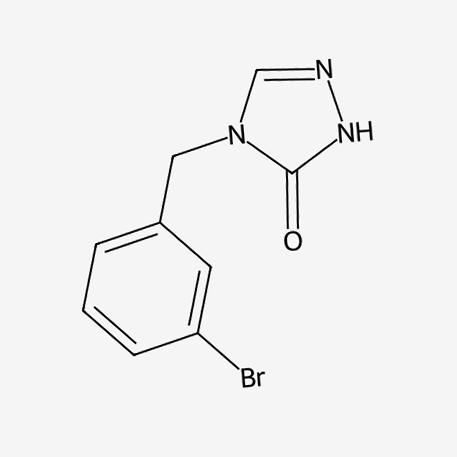 O=c1[nH]ncn1Cc1cccc(Br)c1